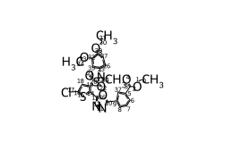 CCOC(=O)c1cccc(-c2nnc(-c3sc(Cl)cc3S(=O)(=O)N(C)c3ccc(OCC)c(OC)c3)o2)c1